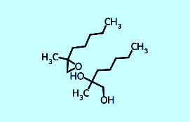 CCCCCC(C)(O)CO.CCCCCC1(C)CO1